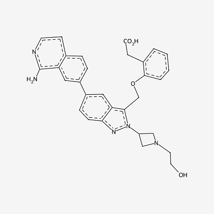 Nc1nccc2ccc(-c3ccc4nn(C5CN(CCO)C5)c(COc5ccccc5CC(=O)O)c4c3)cc12